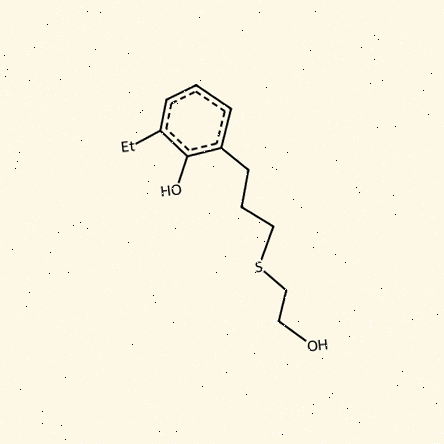 CCc1cccc(CCCSCCO)c1O